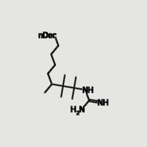 CCCCCCCCCCCCCCC(C)C(C)(C)C(C)(C)NC(=N)N